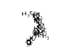 CC(C)C[C@H](NC(=O)OCc1ccccc1)C(=O)NCC(=O)c1nn(CC(C)C)c(=O)o1